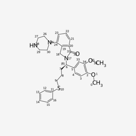 COc1ccc([C@@H](CCCSc2ccccc2)N2Cc3c(cccc3N3CCNCC3)C2=O)cc1OC